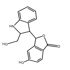 O=C1OC(C2c3ccccc3NC2CO)c2cc(O)ccc21